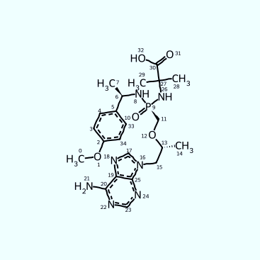 COc1ccc([C@@H](C)N[P@](=O)(CO[C@H](C)Cn2cnc3c(N)ncnc32)NC(C)(C)C(=O)O)cc1